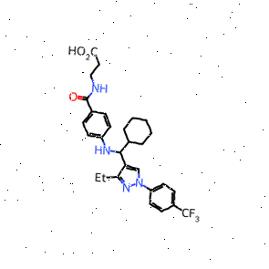 CCc1nn(-c2ccc(C(F)(F)F)cc2)cc1C(Nc1ccc(C(=O)NCCC(=O)O)cc1)C1CCCCC1